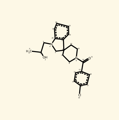 CC(O)CN1CC2(CCN(C(=O)c3ccc(Cl)cc3)CC2)c2ccccc21